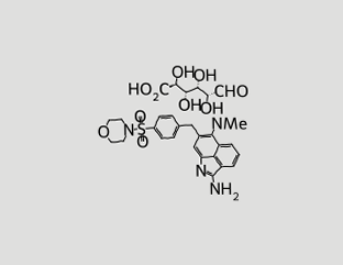 CNc1c(Cc2ccc(S(=O)(=O)N3CCOCC3)cc2)cc2c3c(cccc13)C(N)=N2.O=C[C@H](O)[C@@H](O)[C@H](O)[C@H](O)C(=O)O